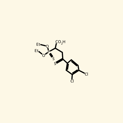 CCOP(=S)(OCC)C(CC(=S)c1ccc(Cl)c(Cl)c1)C(=O)O